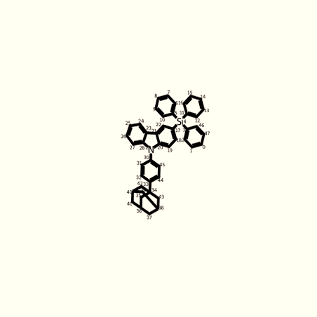 c1ccc([Si](c2ccccc2)(c2ccccc2)c2ccc3c(c2)c2ccccc2n3-c2ccc(C34CC5CC(CC(C5)C3)C4)cc2)cc1